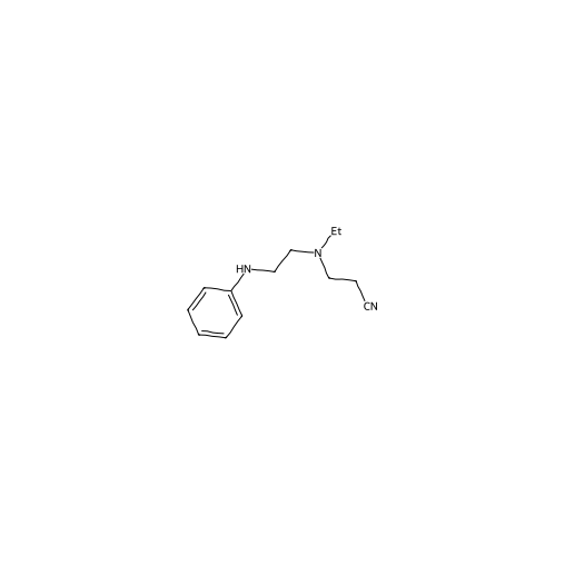 CCN(CCC#N)CCNc1ccccc1